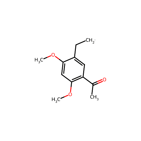 [CH2]Cc1cc(C(C)=O)c(OC)cc1OC